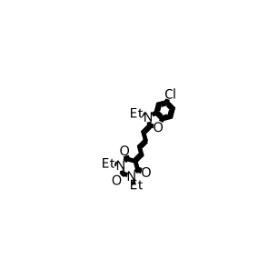 CCN1C(=O)C(=C/C=C/C=C2\Oc3ccc(Cl)cc3N2CC)C(=O)N(CC)C1=O